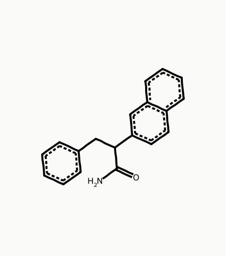 NC(=O)C(Cc1ccccc1)c1ccc2ccccc2c1